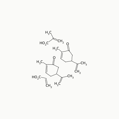 C=C(C)C(=O)O.C=C(C)C1CC=C(C)C(=O)C1.C=C(C)C1CC=C(C)C(=O)C1.C=CC(=O)O